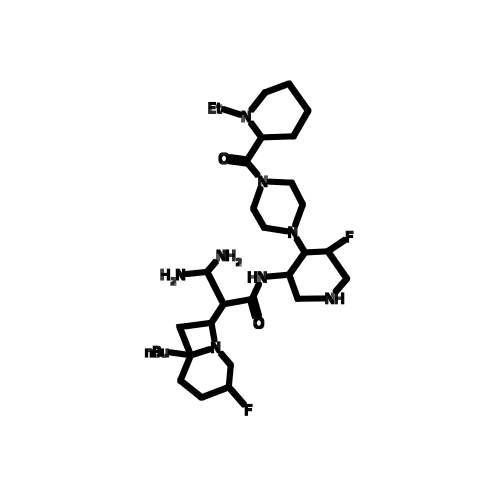 CCCCC12CCC(F)CN1C(C(C(=O)NC1CNCC(F)C1N1CCN(C(=O)C3CCCCN3CC)CC1)C(N)N)C2